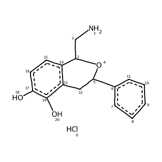 Cl.NCC1OC(c2ccccc2)Cc2c1ccc(O)c2O